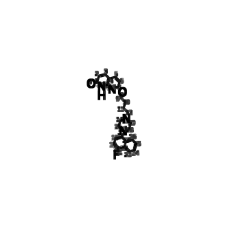 O=c1ccc2ccc(OCCCCN3CCN(c4ccc(F)c5ccccc45)CC3)nc2[nH]1